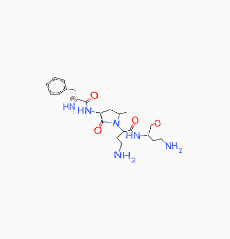 CN[C@H](Cc1ccccc1)C(=O)NC1CC(C)N(C(CCN)C(=O)NC(C=O)CCN)C1=O